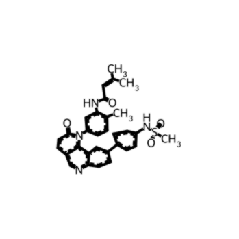 CC(C)=CC(=O)Nc1cc(-n2c(=O)ccc3cnc4ccc(-c5ccc(NS(C)(=O)=O)cc5)cc4c32)ccc1C